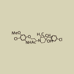 COc1cc(OCCCN2CCC(O)(Cc3ccc(Cl)cc3)C(C)(C)C2)c(NC(C)=O)cc1Cl